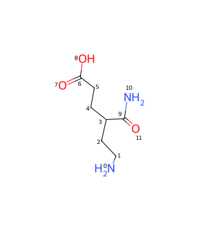 NCCC(CCC(=O)O)C(N)=O